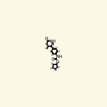 CC1CC(=O)NN=C1c1ccc(NC(=O)OC2CCCC2)cc1